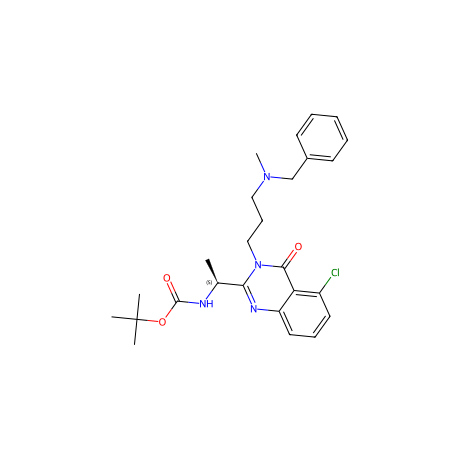 C[C@H](NC(=O)OC(C)(C)C)c1nc2cccc(Cl)c2c(=O)n1CCCN(C)Cc1ccccc1